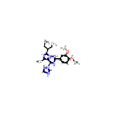 CCC(CC)c1nc(C)c2c(-n3cncn3)nc(-c3ccc(OC)c(OC)c3)nn12